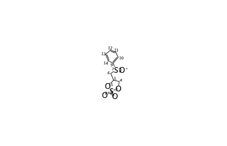 O=S1(=O)OCC(C[S+]([O-])c2ccccc2)O1